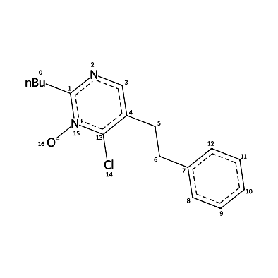 CCCCc1ncc(CCc2ccccc2)c(Cl)[n+]1[O-]